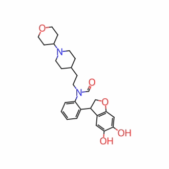 O=CN(CCC1CCN(C2CCOCC2)CC1)c1ccccc1C1COc2cc(O)c(O)cc21